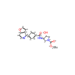 CC(C)(C)OC(=O)N1C[C@@H](O)[C@H](NC(=O)c2ccc(-c3nccc4occc34)cc2)C1